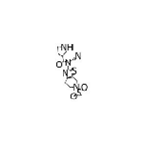 CS(=O)(=O)N1CCc2nc(N(C#N)C(=O)[C@H]3CCNC3)sc2C1